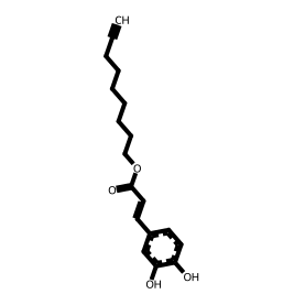 C#CCCCCCCCOC(=O)/C=C/c1ccc(O)c(O)c1